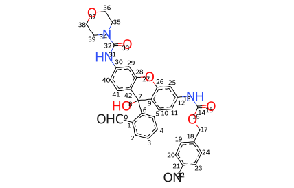 O=Cc1ccccc1C1(O)c2ccc(NC(=O)OCc3ccc(N=O)cc3)cc2Oc2cc(NC(=O)N3CCOCC3)ccc21